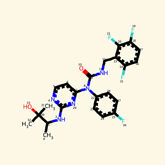 CC(Nc1nccc(N(C(=O)NCc2c(F)ccc(F)c2F)c2ccc(F)cc2)n1)C(C)(C)O